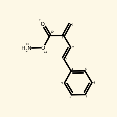 C=C(C=Cc1ccccc1)C(=O)ON